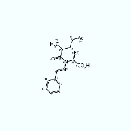 CC[C@@H](C(=O)O)N(N=Cc1ccccc1)C(=O)C(C)CSC(C)=O